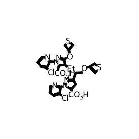 CCC1C(OC2CSC2)=NN(c2ncccc2Cl)C1C(=O)O.O=C(O)C1CC(CCOC2=CSC2)=NN1c1ncccc1Cl